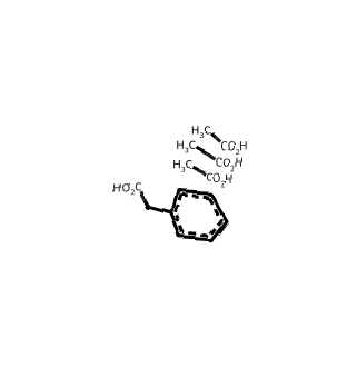 CC(=O)O.CC(=O)O.CC(=O)O.O=C(O)Cc1ccccc1